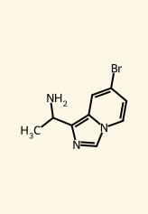 CC(N)c1ncn2ccc(Br)cc12